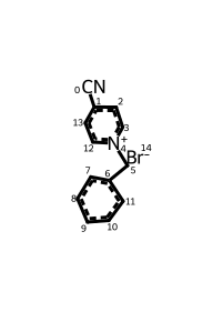 N#Cc1cc[n+](Cc2ccccc2)cc1.[Br-]